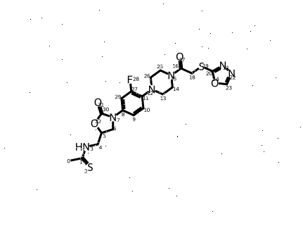 CC(=S)NCC1CN(c2ccc(N3CCN(C(=O)CSc4nnco4)CC3)c(F)c2)C(=O)O1